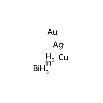 [Ag].[Au].[BiH3].[Cu].[InH3]